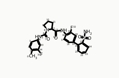 Cc1ccc(NC(=O)N2CCCC2C(=O)Nc2ccc(-c3ccccc3S(N)(=O)=O)cc2F)cc1F